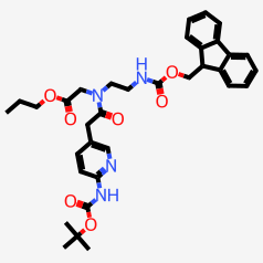 CCCOC(=O)CN(CCNC(=O)OCC1c2ccccc2-c2ccccc21)C(=O)Cc1ccc(NC(=O)OC(C)(C)C)nc1